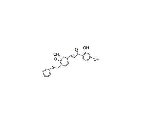 COc1cc(/C=C/C(=O)c2ccc(O)cc2O)ccc1CSc1ccccc1